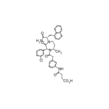 C[C@@H]1CCN([C@H](Cc2cccc3ccccc23)C(N)=O)C(=O)[C@H](c2cccc(Cl)c2)N1C(=O)Cc1cccc(NC(=O)CCC(=O)O)c1